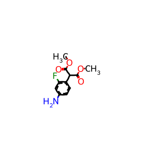 COC(=O)C(C(=O)OC)c1ccc(N)cc1F